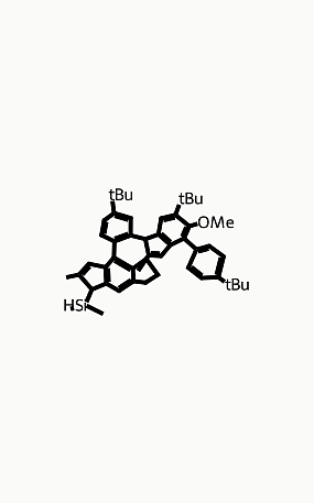 COc1c(C(C)(C)C)cc2c(c1-c1ccc(C(C)(C)C)cc1)C=C(C)C2c1cc(C(C)(C)C)ccc1-c1c2c(cc3c1CCC3)C([SiH](C)C)C(C)=C2